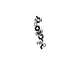 C=CC(=O)NCC1CCN(S(=O)(=O)c2ccc(Oc3cncc(C)n3)cc2)CC1